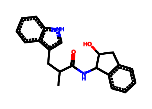 C[C](Cc1c[nH]c2ccccc12)C(=O)NC1c2ccccc2CC1O